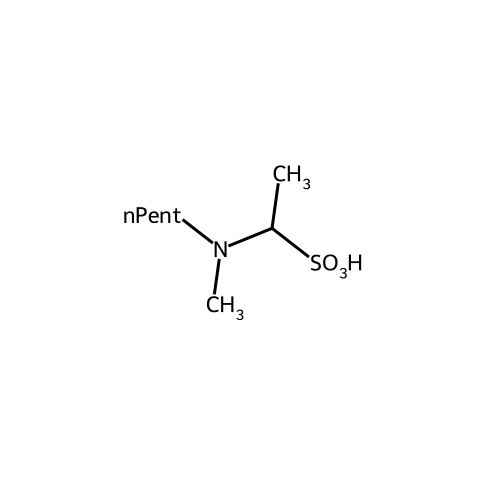 CCCCCN(C)C(C)S(=O)(=O)O